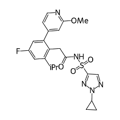 COc1cc(-c2cc(F)cc(C(C)C)c2CC(=O)NS(=O)(=O)c2cnn(C3CC3)n2)ccn1